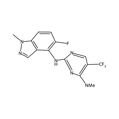 CNc1nc(Nc2c(F)ccc3c2cnn3C)ncc1C(F)(F)F